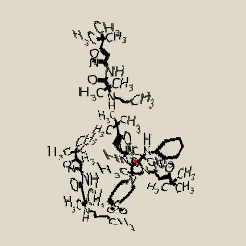 CC(C)(NC1CCCCC1)C(=O)N(CC(C)(C(=O)Nc1cc(C(C)(C)C)on1)N1CCS(=O)(=O)CC1)c1cc(C(C)(C)C)on1.CCCCNC(C)(C)C(=O)Nc1cc(C(C)(C)C)on1.CCCNC(C)(C)C(=O)Nc1cc(C(C)(C)C)on1